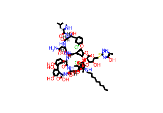 CCCCCCCCCCNC1(C)CC(OC2C(Oc3c4cc5cc3Oc3ccc(cc3Cl)[C@@H](O)[C@@H](NC(=O)[C@H](CC(C)C)NC)C(=O)N[C@@H](CC(N)=O)C(=O)N[C@H]5C(=O)N[C@H]3C(=O)N[C@H](C(=O)N[C@@H](C(=O)O)c5cc(O)cc(O)c5-c5cc3ccc5O)[C@H](O)c3ccc(c(Cl)c3)O4)OC(CSc3nnc(C)c(O)n3)C(O)C2O)OC(C)C1O